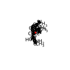 Cc1cc(C(C(=O)N2C[C@H](O)C[C@H]2C(=O)NCc2ccc(-c3scnc3C)cc2OC2CCN(C(=O)C3CCN(c4nccc(Sc5cnc(N6CCC7(CC6)CO[C@@H](C)[C@H]7N)c(CO)n5)c4Cl)CC3)CC2)C(C)C)on1